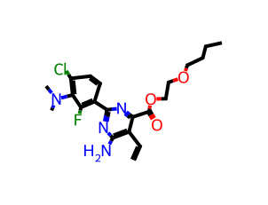 C=Cc1c(N)nc(-c2ccc(Cl)c(N(C)C)c2F)nc1C(=O)OCCOCCCC